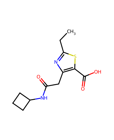 CCc1nc(CC(=O)NC2CCC2)c(C(=O)O)s1